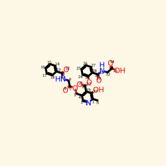 Cc1ncc(COC(=O)CNC(=O)c2ccccc2)c(C(=O)Oc2ccccc2C(=O)NCC(=O)O)c1O